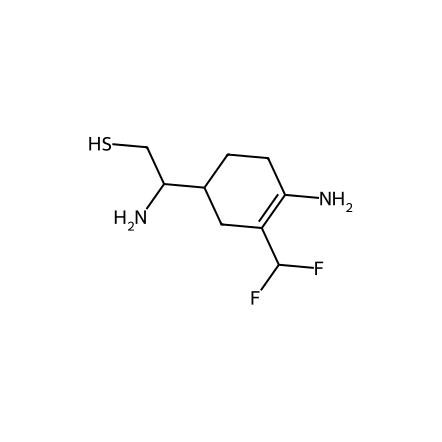 NC1=C(C(F)F)CC(C(N)CS)CC1